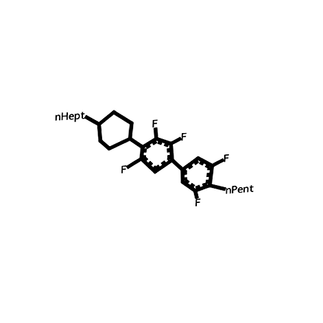 CCCCCCCC1CCC(c2c(F)cc(-c3cc(F)c(CCCCC)c(F)c3)c(F)c2F)CC1